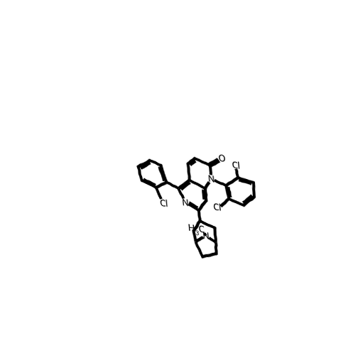 CN1C2CCC1CC(c1cc3c(ccc(=O)n3-c3c(Cl)cccc3Cl)c(-c3ccccc3Cl)n1)C2